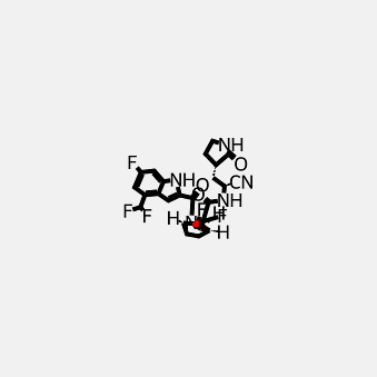 N#C[C@@H](C[C@@H]1CCNC1=O)NC(=O)[C@H]1[C@H]2CC[C@H](CC2(F)F)N1C(=O)c1cc2c(C(F)F)cc(F)cc2[nH]1